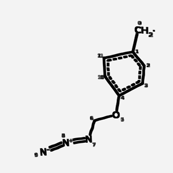 [CH2]c1ccc(OCN=[N+]=[N-])cc1